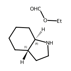 C1CC[C@H]2NCC[C@@H]2C1.CCOC=O